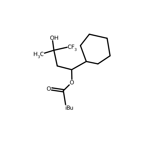 CCC(C)C(=O)OC(CC(C)(O)C(F)(F)F)C1CCCCC1